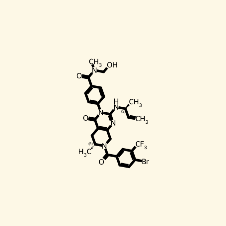 C=C[C@H](C)Nc1nc2c(c(=O)n1-c1ccc(C(=O)N(C)CO)cc1)C[C@@H](C)N(C(=O)c1ccc(Br)c(C(F)(F)F)c1)C2